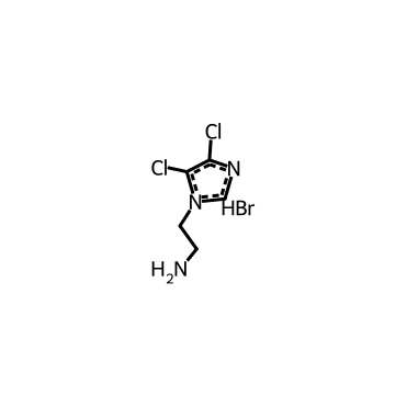 Br.NCCn1cnc(Cl)c1Cl